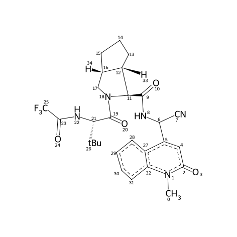 Cn1c(=O)cc(C(C#N)NC(=O)[C@@H]2[C@H]3CCC[C@H]3CN2C(=O)[C@@H](NC(=O)C(F)(F)F)C(C)(C)C)c2ccccc21